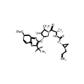 C=CC[C@@H]1C[C@H]1OC(=O)N[C@@H](C)C(=O)N1C[C@H](Oc2nc3cc(OC)ccc3nc2C(C)(F)F)[C@@H](CC)[C@H]1C(=O)O